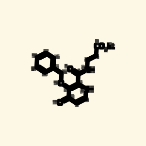 CCOC(=O)CCNC(=O)c1[nH]ccc(=O)c1OCc1ccccc1